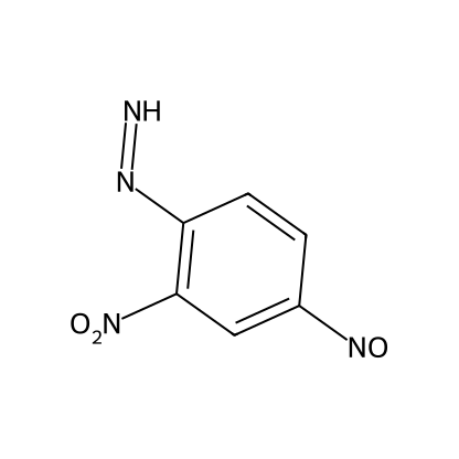 N=Nc1ccc(N=O)cc1[N+](=O)[O-]